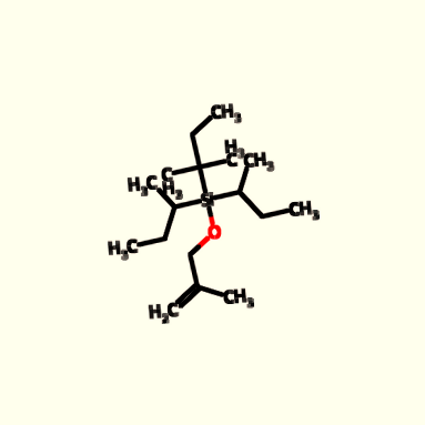 C=C(C)CO[Si](C(C)CC)(C(C)CC)C(C)(C)CC